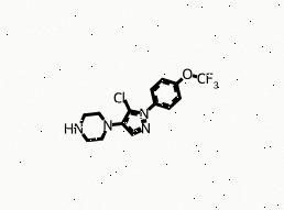 FC(F)(F)Oc1ccc(-n2ncc(N3CCNCC3)c2Cl)cc1